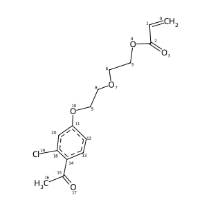 C=CC(=O)OCCOCCOc1ccc(C(C)=O)c(Cl)c1